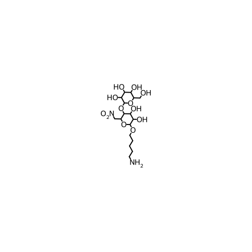 NCCCCCOC1OC(C[N+](=O)[O-])C(OC2OC(CO)C(O)C(O)C2O)C(O)C1O